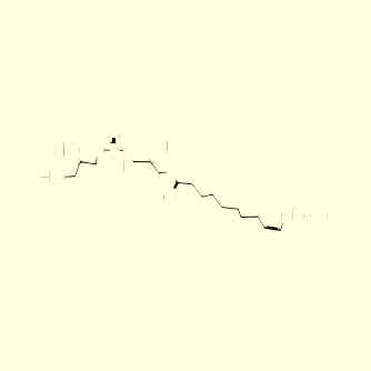 CCCCC/C=C\CCCCCCCC(=O)OC[C@@H](O)COP(=O)(O)OC[C@@H](O)CO